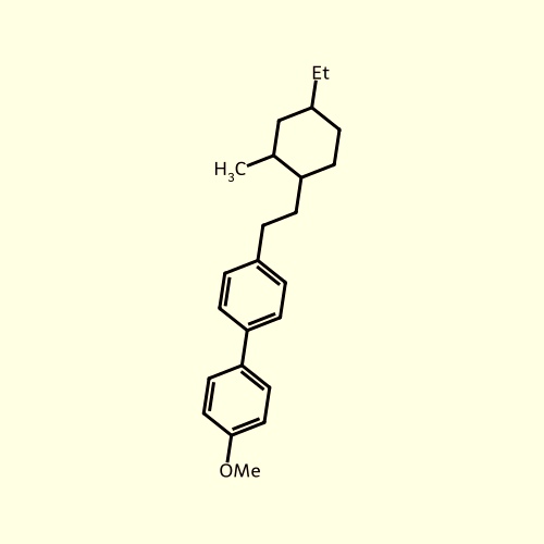 CCC1CCC(CCc2ccc(-c3ccc(OC)cc3)cc2)C(C)C1